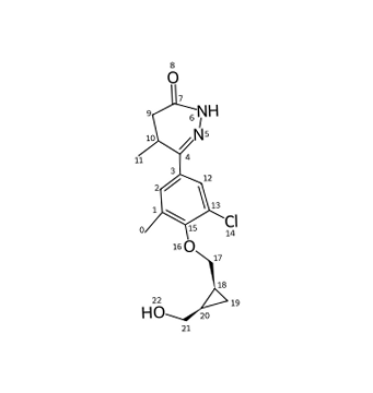 Cc1cc(C2=NNC(=O)CC2C)cc(Cl)c1OC[C@H]1C[C@H]1CO